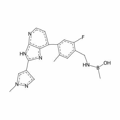 CB(O)NCc1cc(C)c(-c2ccnc3[nH]c(-c4cnn(C)c4)nc23)cc1F